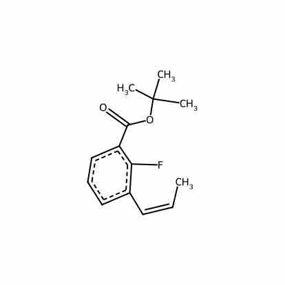 C/C=C\c1cccc(C(=O)OC(C)(C)C)c1F